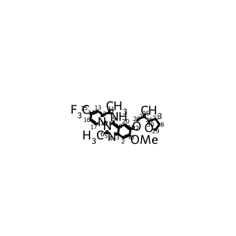 COc1cc2nc(C)nc(N[C@H](C)c3cc(C(F)(F)F)ccn3)c2cc1OCC(C)[C@H]1CCCO1